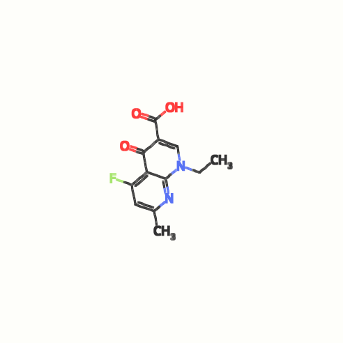 CCn1cc(C(=O)O)c(=O)c2c(F)cc(C)nc21